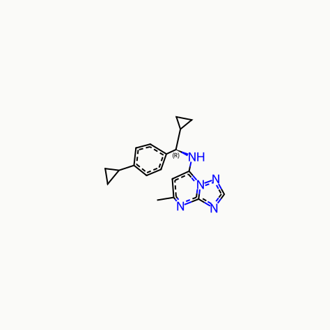 Cc1cc(N[C@@H](c2ccc(C3CC3)cc2)C2CC2)n2ncnc2n1